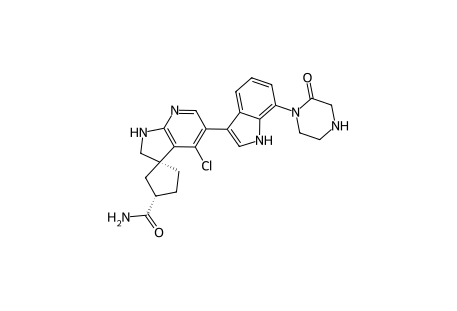 NC(=O)[C@H]1CC[C@@]2(CNc3ncc(-c4c[nH]c5c(N6CCNCC6=O)cccc45)c(Cl)c32)C1